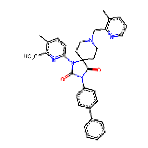 Cc1cccnc1CN1CCC2(CC1)C(=O)N(c1ccc(-c3ccccc3)cc1)C(=O)N2c1ccc(C)c(C(=O)O)n1